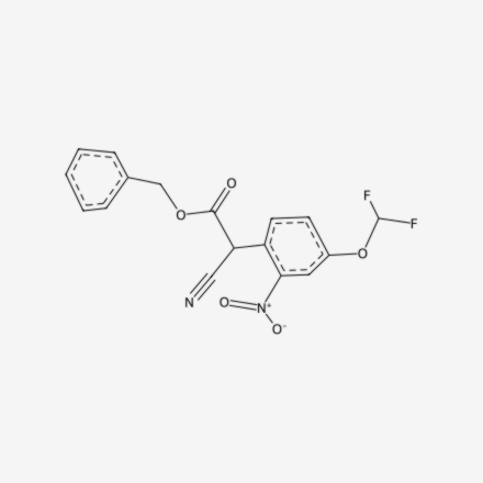 N#CC(C(=O)OCc1ccccc1)c1ccc(OC(F)F)cc1[N+](=O)[O-]